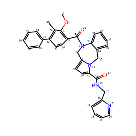 COc1c(C(=O)N2Cc3ccc(C(=O)NCc4ccccn4)n3Cc3ccccc32)ccc(-c2ccccc2)c1C